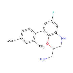 COc1ccc(-c2cc(F)cc3c2OC(CN)CN3)c(C)c1